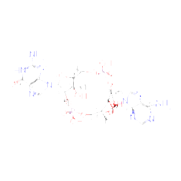 Nc1nc2c(ncn2[C@@H]2O[C@@H]3COP(=O)(O)O[C@@H]4[C@H](O)[C@@H](COP(=O)(O)O[C@@H]2[C@@H]3O)O[C@H]4n2cnc3c(N)ncnc32)c(=O)[nH]1